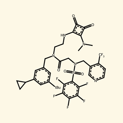 CN(C)c1c(NCCN(Cc2cc(C3CC3)cc(C(C)(C)C)c2)C(=O)CN(Cc2cnccc2C(F)(F)F)S(=O)(=O)c2c(F)c(F)c(F)c(F)c2F)c(=O)c1=O